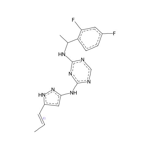 C/C=C/c1cc(Nc2ncnc(NC(C)c3ccc(F)cc3F)n2)n[nH]1